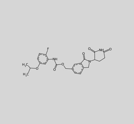 CC(C)Oc1ccc(F)c(NC(=O)OCc2ccc3c(c2)C(=O)N(C2CCC(=O)NC2=O)C3)c1